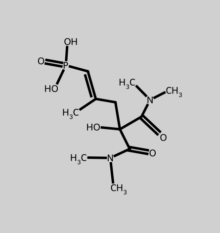 C/C(=C\P(=O)(O)O)CC(O)(C(=O)N(C)C)C(=O)N(C)C